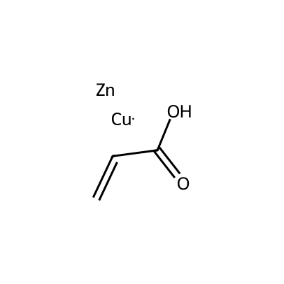 C=CC(=O)O.[Cu].[Zn]